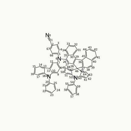 N#Cc1ccc(N(c2ccc3c(c2)c2ccccc2n3-c2ccccc2)c2cc3c(c4ccccc24)-c2c(ccc4ccccc24)C32c3ccccc3N(c3ccccc3)c3ccccc32)cc1